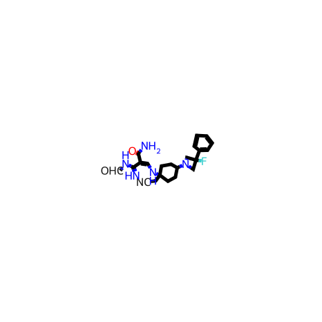 N#CCC1(N/C=C(\C(=N)NC=O)C(N)=O)CCC(N2CC(F)(c3ccccc3)C2)CC1